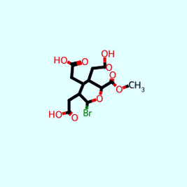 COC(=O)C1OC(Br)C(CC(=O)O)C(CC(=O)O)C1CC(=O)O